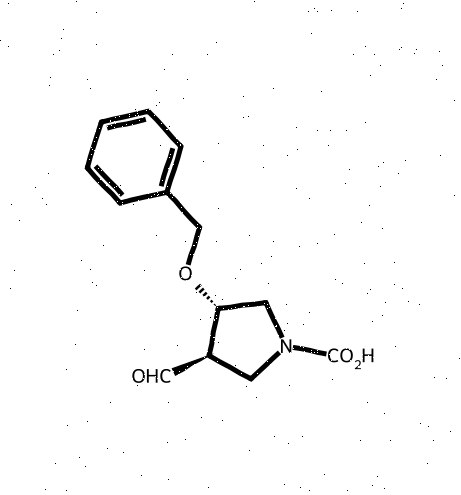 O=C[C@@H]1CN(C(=O)O)C[C@H]1OCc1ccccc1